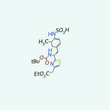 CCOC(=O)Cc1csc([C@H](CC2=CC=C(NS(=O)(=O)O)C(C)C2)NC(=O)OC(C)(C)C)n1